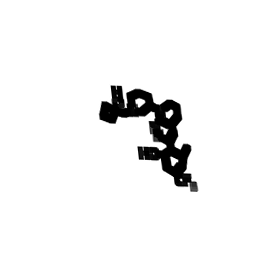 Cc1cc(C(F)(F)F)cc(O)c1-c1cc2c(nn1)N(C1CCCN(CC3(O)CCC3)C1)CCC2